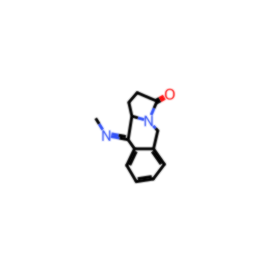 CN=C1c2ccccc2CN2C(=O)CCC12